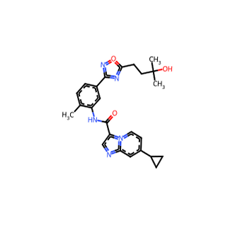 Cc1ccc(-c2noc(CCC(C)(C)O)n2)cc1NC(=O)c1cnc2cc(C3CC3)ccn12